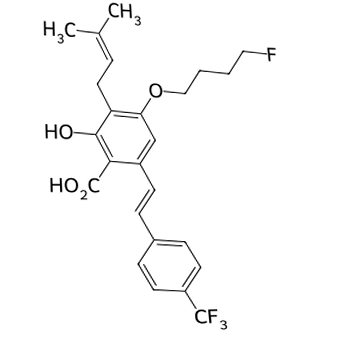 CC(C)=CCc1c(OCCCCF)cc(C=Cc2ccc(C(F)(F)F)cc2)c(C(=O)O)c1O